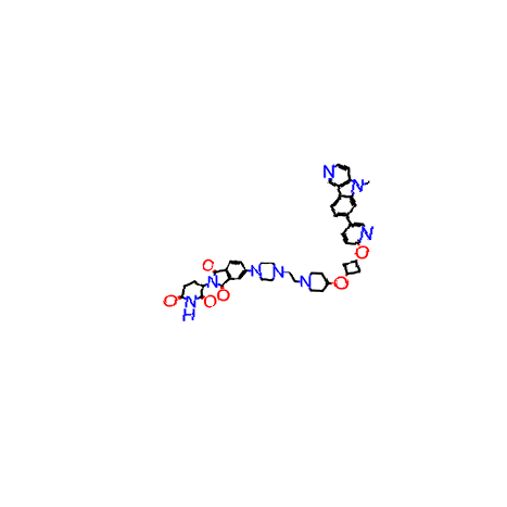 Cn1c2ccncc2c2ccc(-c3ccc(O[C@H]4C[C@H](OC5CCN(CCN6CCN(c7ccc8c(c7)C(=O)N(C7CCC(=O)NC7=O)C8=O)CC6)CC5)C4)nc3)cc21